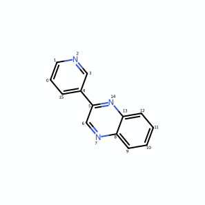 c1cncc(-c2cnc3ccccc3n2)c1